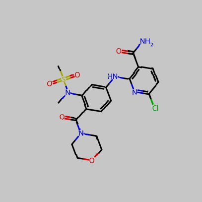 CN(c1cc(Nc2nc(Cl)ccc2C(N)=O)ccc1C(=O)N1CCOCC1)S(C)(=O)=O